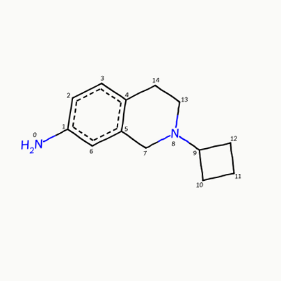 Nc1ccc2c(c1)CN(C1CCC1)CC2